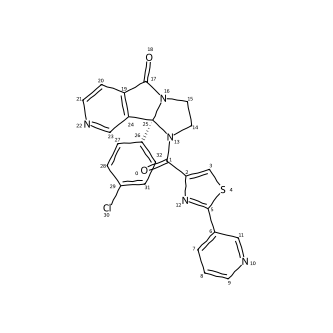 O=C(c1csc(-c2cccnc2)n1)N1CCN2C(=O)c3ccncc3[C@]12c1ccc(Cl)cc1